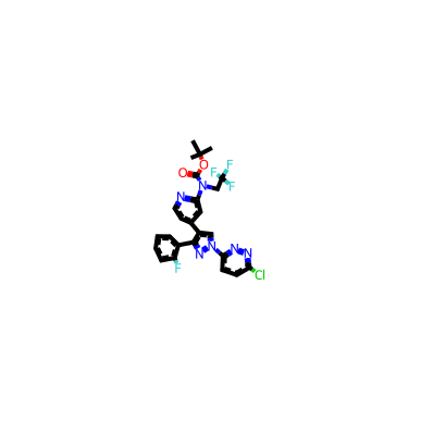 CC(C)(C)OC(=O)N(CC(F)(F)F)c1cc(-c2cn(-c3ccc(Cl)nn3)nc2-c2ccccc2F)ccn1